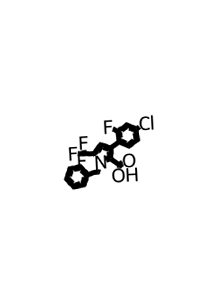 O=C(O)c1c(-c2ccc(Cl)cc2F)cc(C(F)(F)F)n1Cc1ccccc1